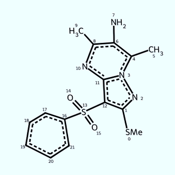 CSc1nn2c(C)c(N)c(C)nc2c1S(=O)(=O)c1ccccc1